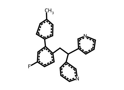 Cc1ccc(-c2cc(F)ccc2CC(c2cccnc2)c2cccnc2)cc1